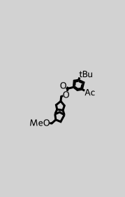 COCC1CC2CC1C1CC(COC(=O)c3cc(C(C)=O)cc(C(C)(C)C)c3)CC21